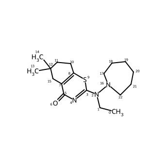 CCN(c1nc(=O)c2c(s1)CCC(C)(C)C2)N1CCCCCC1